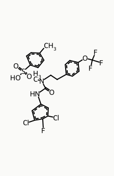 CN(CCc1ccc(OC(F)(F)F)cc1)C(=O)Nc1cc(Cl)c(F)c(Cl)c1.Cc1ccc(S(=O)(=O)O)cc1